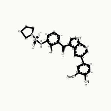 COc1cc(-c2cnc3[nH]cc(C(=O)c4cccc(NS(=O)(=O)N5CCCC5)c4F)c3c2)ccc1C#N